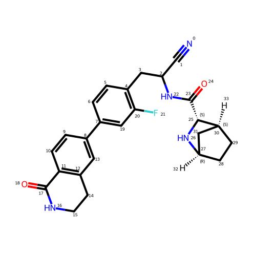 N#CC(Cc1ccc(-c2ccc3c(c2)CCNC3=O)cc1F)NC(=O)[C@H]1N[C@@H]2CC[C@H]1C2